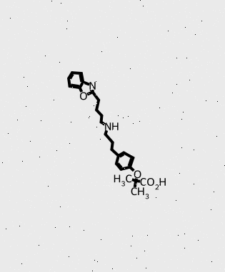 CC(C)(Oc1ccc(CCCNCCCCc2nc3ccccc3o2)cc1)C(=O)O